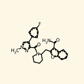 Cn1cc(-c2ccc(F)cc2)c(C(=O)N2CCCCC2Cc2oc3ccccc3c2C(N)=O)n1